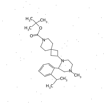 CC(C)c1ccccc1C1CN(C)CCN1C1CC2(CCN(C(=O)OC(C)(C)C)CC2)C1